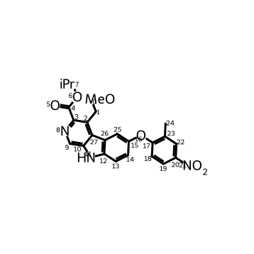 COCc1c(C(=O)OC(C)C)ncc2[nH]c3ccc(Oc4ccc([N+](=O)[O-])cc4C)cc3c12